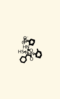 Cc1ccccc1NC(=O)[C@@H](C1CCCCC1)N(S)C(=O)Nc1ccccc1[N+](=O)[O-]